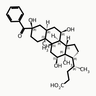 C[C@H](CCC(=O)O)[C@H]1CC[C@H]2[C@@H]3[C@H](O)C[C@@H]4C[C@@](O)(C(=O)c5ccccc5)CC[C@]4(C)[C@H]3C[C@H](O)[C@]12C